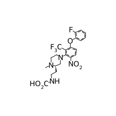 CN1CCN(c2c([N+](=O)[O-])ccc(Oc3ccccc3F)c2C(F)(F)F)C[C@H]1CCNC(=O)O